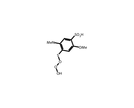 CNc1cc(S(=O)(=O)O)c(OC)cc1SOOO